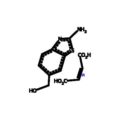 Nc1nc2ccc(CO)cc2s1.O=C(O)/C=C\C(=O)O